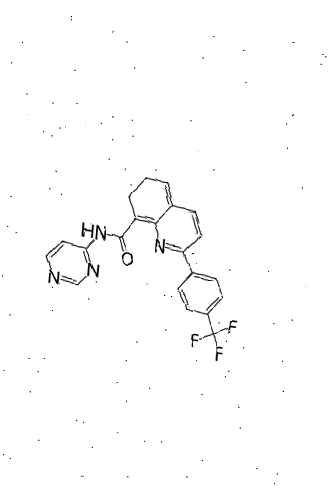 O=C(Nc1ccncn1)C1=c2nc(-c3ccc(C(F)(F)F)cc3)ccc2=CCC1